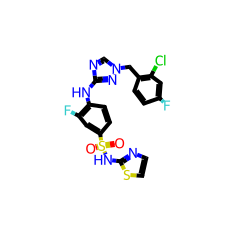 O=S(=O)(Nc1nccs1)c1ccc(Nc2ncn(Cc3ccc(F)cc3Cl)n2)c(F)c1